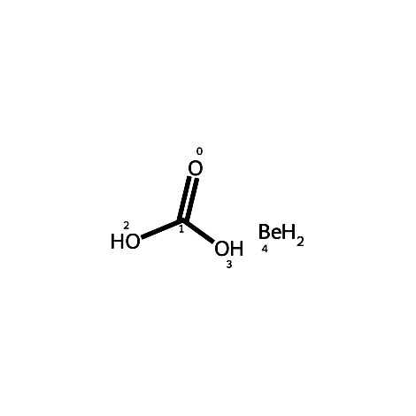 O=C(O)O.[BeH2]